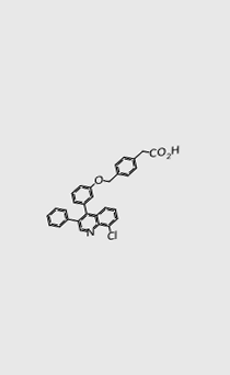 O=C(O)Cc1ccc(COc2cccc(-c3c(-c4ccccc4)cnc4c(Cl)cccc34)c2)cc1